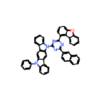 c1ccc(-n2c3ccccc3c3cc4c(cc32)c2ccccc2n4-c2nc(-c3ccc4ccccc4c3)nc(-c3cccc4oc5ccccc5c34)n2)cc1